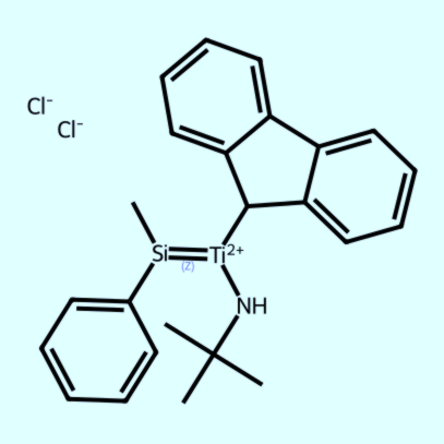 C/[Si](c1ccccc1)=[Ti+2](/[NH]C(C)(C)C)[CH]1c2ccccc2-c2ccccc21.[Cl-].[Cl-]